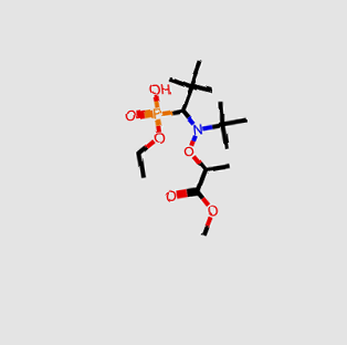 CCOP(=O)(O)C(N(OC(C)C(=O)OC)C(C)(C)C)C(C)(C)C